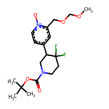 COCOCc1cc(C2CN(C(=O)OC(C)(C)C)CCC2(F)F)cc[n+]1[O-]